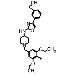 CCOc1cc(CN2CCC(Nc3nc(-c4cccc(OC)c4)co3)CC2)cc(OCC)c1F